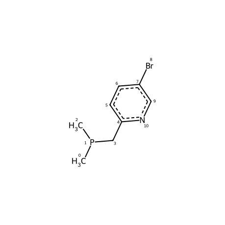 CP(C)Cc1ccc(Br)cn1